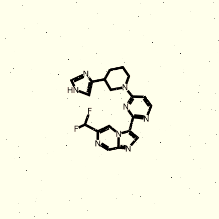 FC(F)c1cn2c(-c3nccc(N4CCCC(c5c[nH]cn5)C4)n3)cnc2cn1